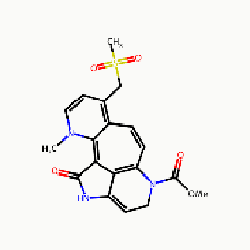 COC(=O)N1CC=c2[nH]c(=O)c3c4c(ccc1c2-3)=C(CS(C)(=O)=O)C=CN4C